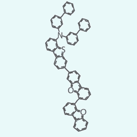 c1ccc(-c2cccc(N(c3cccc(-c4ccccc4)c3)c3cccc4c3sc3cc(-c5ccc6c(c5)oc5c(-c7cccc8c7oc7ccccc78)cccc56)ccc34)c2)cc1